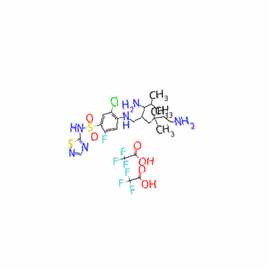 CC(C)C(N)C(CNc1cc(F)c(S(=O)(=O)Nc2ncns2)cc1Cl)CC(C)(C)CCN.O=C(O)C(F)(F)F.O=C(O)C(F)(F)F